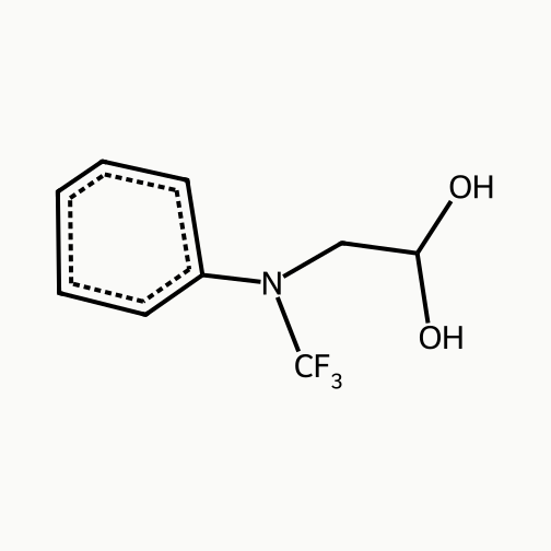 OC(O)CN(c1ccccc1)C(F)(F)F